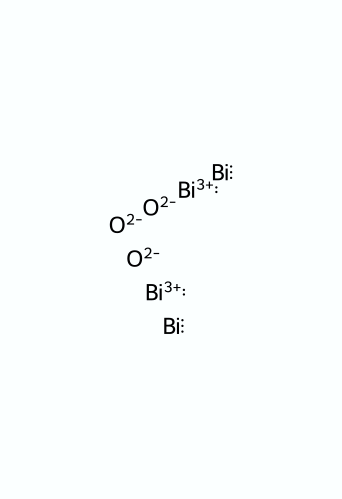 [Bi+3].[Bi+3].[Bi].[Bi].[O-2].[O-2].[O-2]